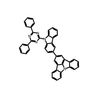 c1ccc(-c2nc(-c3ccccc3)nc(-n3c4ccccc4c4cc(-c5cc6c7ccccc7n7c8ccccc8c(c5)c67)ccc43)n2)cc1